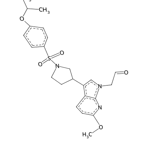 COc1ccc2c(C3CCN(S(=O)(=O)c4ccc(OC(C)C)cc4)C3)cn(CC=O)c2n1